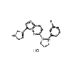 Cl.Fc1cccc([C@H]2CCCN2c2ccc3ncc(C4=CCNC4)n3n2)c1